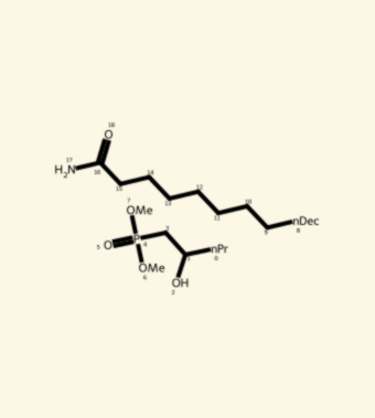 CCCC(O)CP(=O)(OC)OC.CCCCCCCCCCCCCCCCCC(N)=O